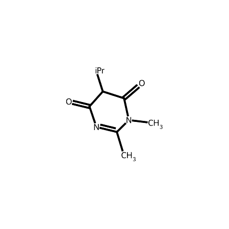 CC1=NC(=O)C(C(C)C)C(=O)N1C